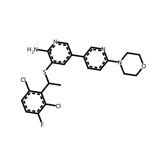 CC(Sc1cc(-c2ccc(N3CCOCC3)nc2)cnc1N)c1c(Cl)ccc(F)c1Cl